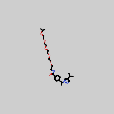 CC(C)OCCOCCOCCOCCOCCNC(=O)c1ccc(C(C)n2cc(C(C)C)cn2)cc1